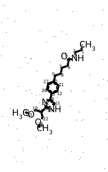 CCCNC(=O)CCCCc1ccc(-c2c[nH]c(C(COC)COC)n2)cc1